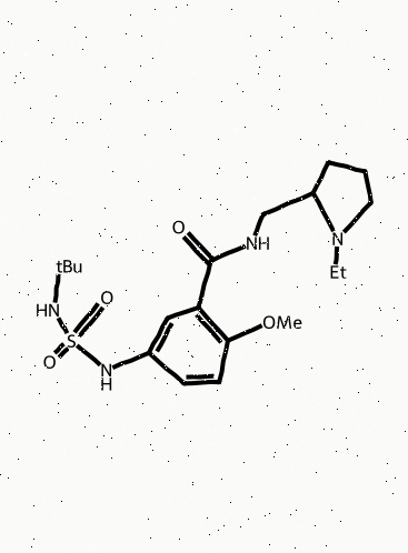 CCN1CCCC1CNC(=O)c1cc(NS(=O)(=O)NC(C)(C)C)ccc1OC